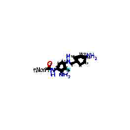 CCCCCCCCCC(=O)Nc1ccc(NCc2ccc(N)cc2)c(F)c1N